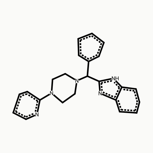 c1ccc(C(c2nc3ccccc3[nH]2)N2CCN(c3ccccn3)CC2)cc1